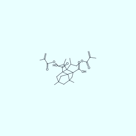 C=C(C)C(=O)OCC(C)C1(C(C)COC(=O)C(=C)C)C2(C(=O)O)CC3(C)CC(C)(C2)CC1(C(=O)O)C3